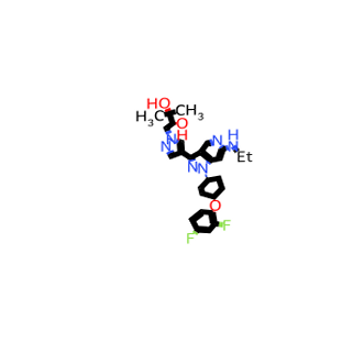 CCNc1cc2c(cn1)c(-c1cnn(C[C@H](O)C(C)(C)O)c1)nn2[C@H]1CC[C@@H](Oc2ccc(F)cc2F)CC1